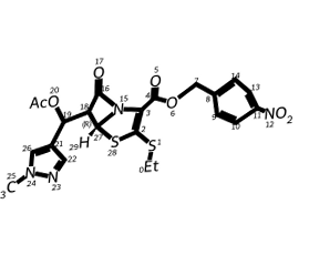 CCSC1=C(C(=O)OCc2ccc([N+](=O)[O-])cc2)N2C(=O)C(C(OC(C)=O)c3cnn(C)c3)[C@H]2S1